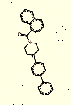 O=C(c1cccc2ccccc12)N1CCN(c2ccc(-c3ccccc3)cc2)CC1